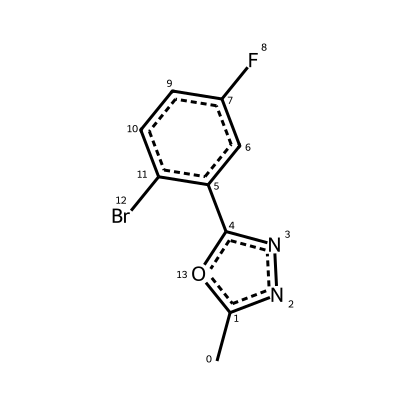 Cc1nnc(-c2cc(F)ccc2Br)o1